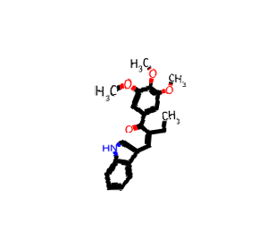 CCC(=Cc1c[nH]c2ccccc12)C(=O)c1cc(OC)c(OC)c(OC)c1